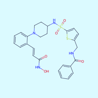 O=C(C=Cc1ccccc1N1CCC(NS(=O)(=O)c2ccc(CNC(=O)c3ccccc3)s2)CC1)NO